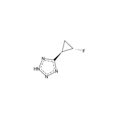 F[C@H]1C[C@@H]1c1nn[nH]n1